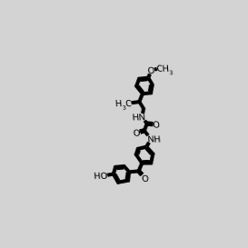 COc1ccc(C(C)CNC(=O)C(=O)Nc2ccc(C(=O)c3ccc(O)cc3)cc2)cc1